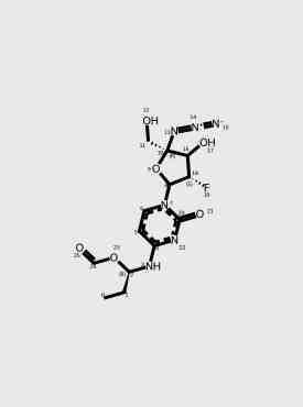 CC[C@H](Nc1ccn(C2O[C@@](CO)(N=[N+]=[N-])C(O)[C@@H]2F)c(=O)n1)OC=O